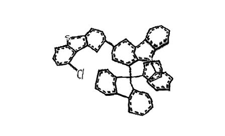 Clc1cccc2sc3ccc(-c4cc(C5(c6ccccc6)c6ccccc6-c6ccccc65)c5c(c4)c4ccccc4n5-c4ccccc4)cc3c12